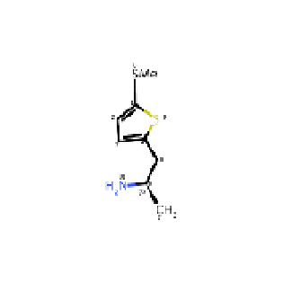 CSc1ccc(C[C@@H](C)N)s1